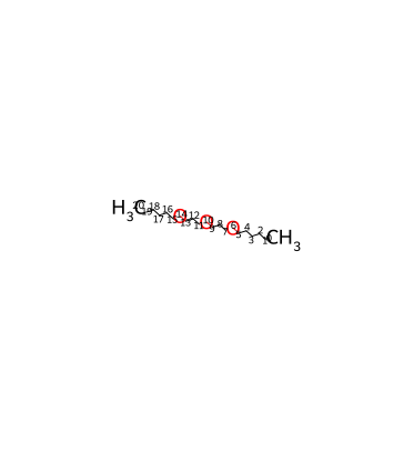 CCCCCCOCCCOCCCOCCCCCC